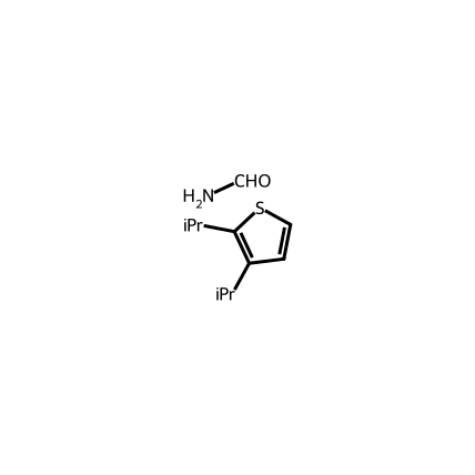 CC(C)c1ccsc1C(C)C.NC=O